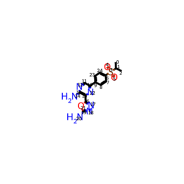 CC(C)S(=O)(=O)c1ccc(-c2cnc(N)c(-c3nnc(N)o3)n2)cc1